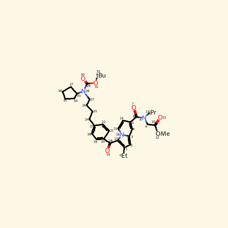 CCc1cc2cc(C(=O)N(CC(=O)OC)C(C)C)ccn2c1C(=O)c1ccc(CCCCN(C(=O)OC(C)(C)C)C2CCCC2)cc1